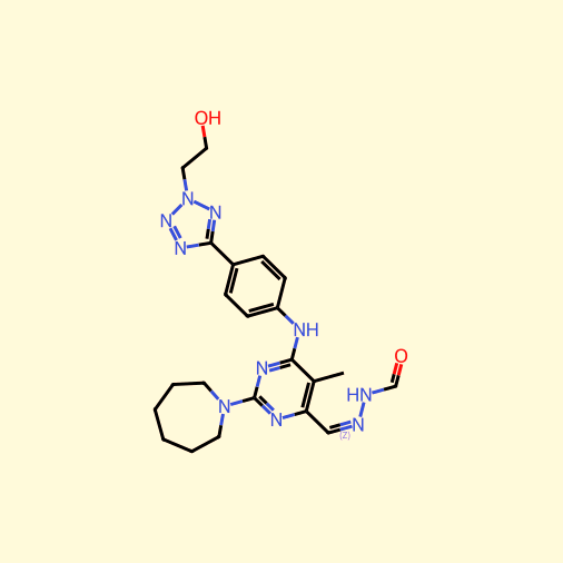 Cc1c(/C=N\NC=O)nc(N2CCCCCC2)nc1Nc1ccc(-c2nnn(CCO)n2)cc1